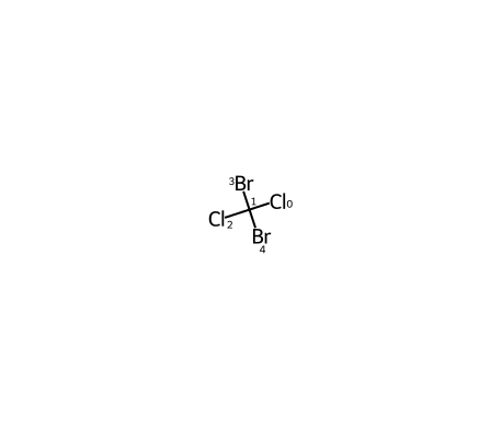 ClC(Cl)(Br)Br